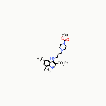 CCOC(=O)c1cnc2c(C)cc(C)cc2c1NCCCN1CCN(C(=O)OC(C)(C)C)CC1